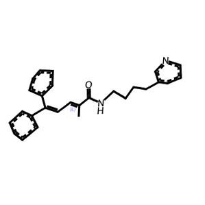 C/C(=C\C=C(c1ccccc1)c1ccccc1)C(=O)NCCCCc1cccnc1